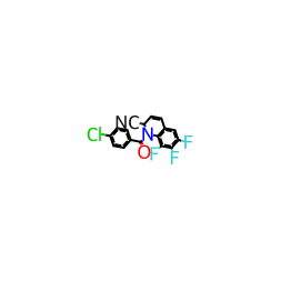 N#CC1C=Cc2cc(F)c(F)c(F)c2N1C(=O)c1ccc(Cl)cc1